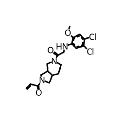 C=CC(=O)N1CC2CCN(C(=O)CNc3cc(Cl)c(Cl)cc3OC)CC2C1